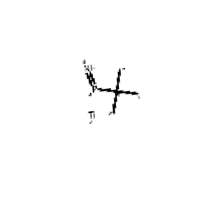 CC(C)(C)P=N.[Ti]